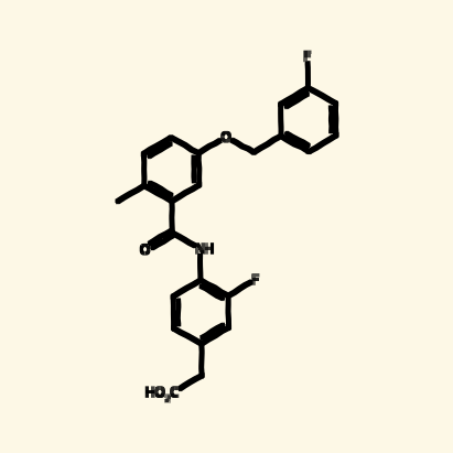 Cc1ccc(OCc2cccc(F)c2)cc1C(=O)Nc1ccc(CC(=O)O)cc1F